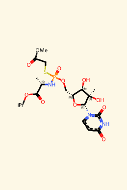 COC(=O)CSP(=O)(N[C@@H](C)C(=O)OC(C)C)OC[C@H]1O[C@@H](n2ccc(=O)[nH]c2=O)[C@](C)(O)[C@@H]1O